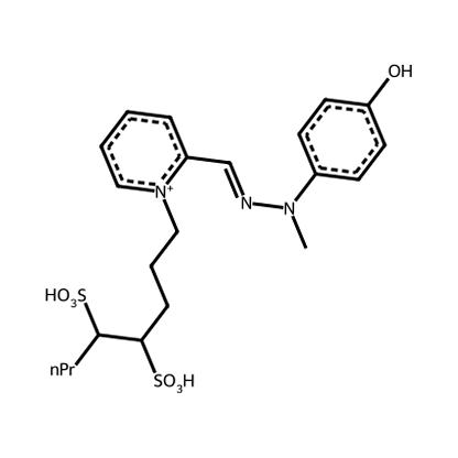 CCCC(C(CCC[n+]1ccccc1C=NN(C)c1ccc(O)cc1)S(=O)(=O)O)S(=O)(=O)O